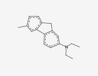 CCN(CC)c1ccc2c(c1)Cc1ccc(C)cc1-2